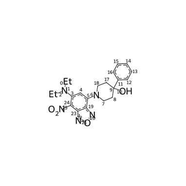 CCN(CC)c1cc(N2CCC(O)(c3ccccc3)CC2)c2nonc2c1[N+](=O)[O-]